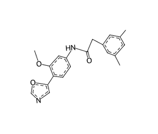 COc1cc(NC(=O)Cc2cc(C)cc(C)c2)ccc1-c1cnco1